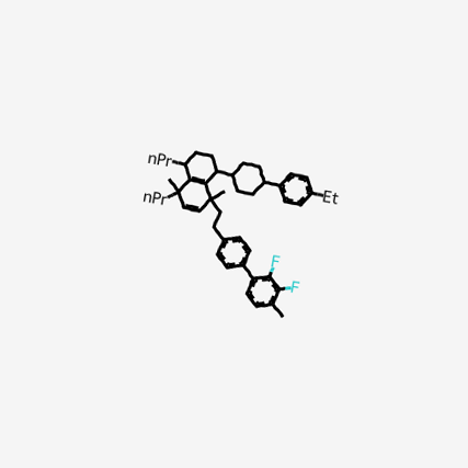 CCCC1CCC(C2CCC(c3ccc(CC)cc3)CC2)C2=C1C(C)(CCC)C=CC2(C)CCc1ccc(-c2ccc(C)c(F)c2F)cc1